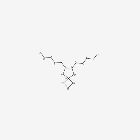 CCCCCC1=C(CCCCC)CC2(CCC2)C1